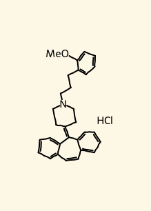 COc1ccccc1CCCN1CCC(=C2c3ccccc3C=Cc3ccccc32)CC1.Cl